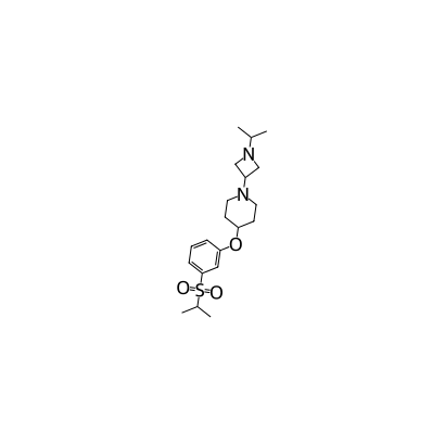 CC(C)N1CC(N2CCC(Oc3cccc(S(=O)(=O)C(C)C)c3)CC2)C1